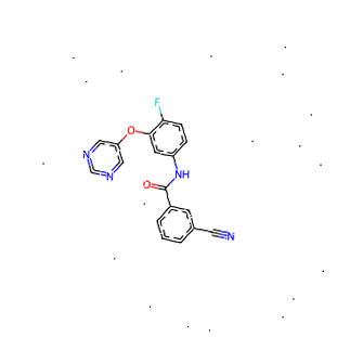 N#Cc1cccc(C(=O)Nc2ccc(F)c(Oc3cncnc3)c2)c1